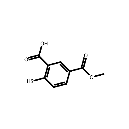 COC(=O)c1ccc(S)c(C(=O)O)c1